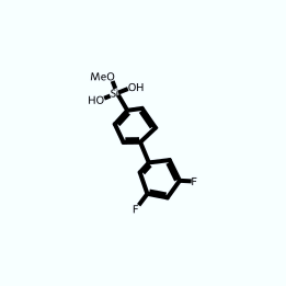 CO[Si](O)(O)c1ccc(-c2cc(F)cc(F)c2)cc1